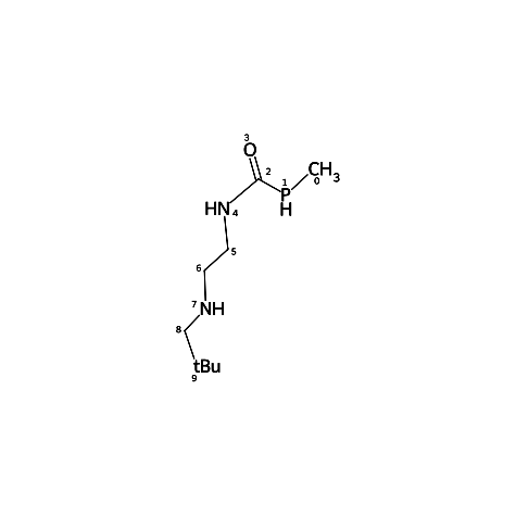 CPC(=O)NCCNCC(C)(C)C